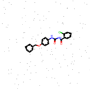 O=C(NC(=O)c1ccccc1Cl)Nc1ccc(OCc2ccccc2)cc1